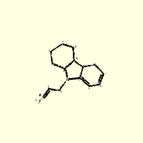 C=CCN1C2=CC=CCC2C2CCCCC21